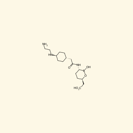 NCCN[C@H]1CC[C@H](CC(=O)N[C@H]2CC[C@H](CC(=O)O)OB2O)CC1